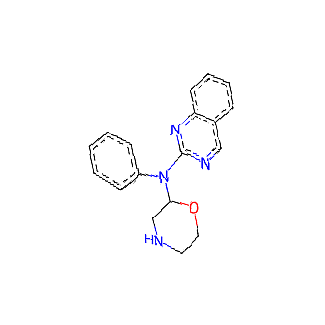 c1ccc(N(c2ncc3ccccc3n2)C2CNCCO2)cc1